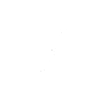 C=C(C)C(=O)OCCOCCOC(=O)c1ccc(OCCOCCOC(=O)C(=C)C)cc1